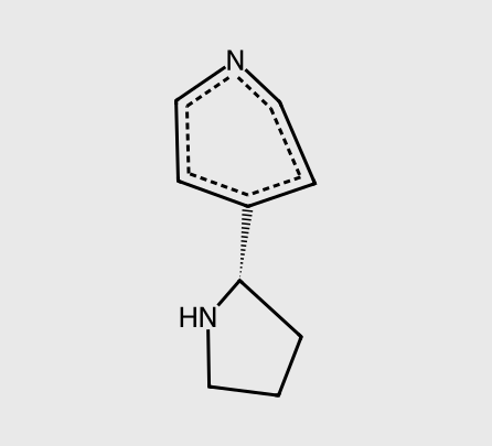 c1cc([C@@H]2CCCN2)ccn1